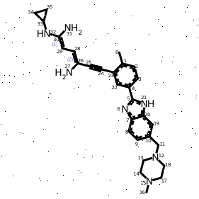 Cc1ccc(-c2nc3ccc(CN4CCN(C)CC4)cc3[nH]2)cc1C#C/C(N)=C/C=C(\N)NC1CC1